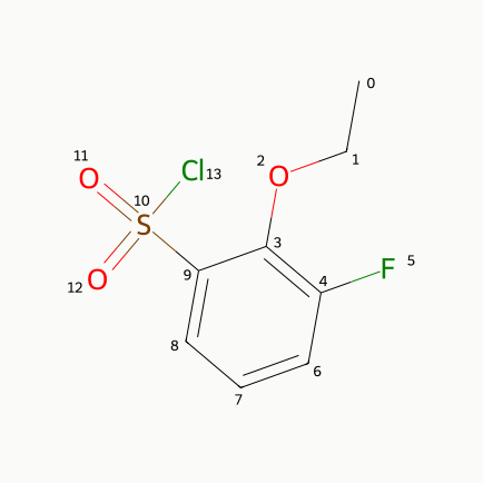 CCOc1c(F)cccc1S(=O)(=O)Cl